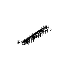 CC(C)C(O)CC(O)CC(O)CC(O)/C=C/CC(O)CC(O)CC(O)CC(O)/C=C/CC(O)CC(O)CCN